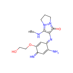 CCCCNc1c(/N=C2\C=C(OCCO)C(=N)C=C2N)c(=O)n2n1CCC2